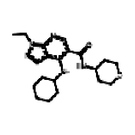 CCn1ncc2c(NC3CCCCC3)c(C(=O)NC3CCOCC3)cnc21